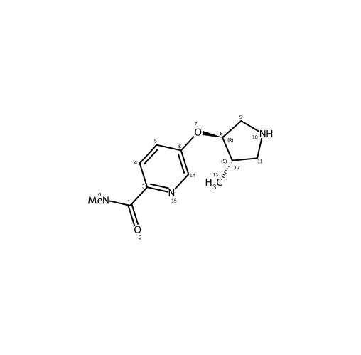 CNC(=O)c1ccc(O[C@H]2CNC[C@@H]2C)cn1